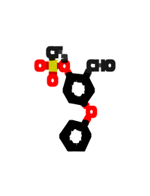 O=Cc1cc(Oc2ccccc2)ccc1OS(=O)(=O)C(F)(F)F